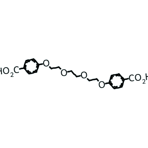 O=C(O)c1ccc(OCCOCCOCCOc2ccc(C(=O)O)cc2)cc1